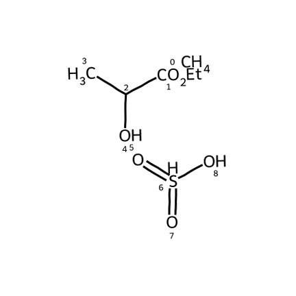 C.CCOC(=O)C(C)O.O=[SH](=O)O